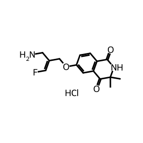 CC1(C)NC(=O)c2ccc(OCC(=CF)CN)cc2C1=O.Cl